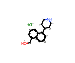 Cl.OCc1cccc2c(C3CCNCC3)cccc12